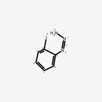 N/N=N\c1ccccc1I